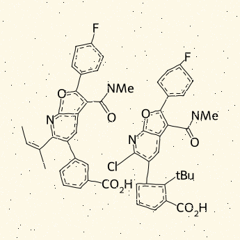 C/C=C(/C)c1nc2oc(-c3ccc(F)cc3)c(C(=O)NC)c2cc1-c1cccc(C(=O)O)c1.CNC(=O)c1c(-c2ccc(F)cc2)oc2nc(Cl)c(-c3cccc(C(=O)O)c3C(C)(C)C)cc12